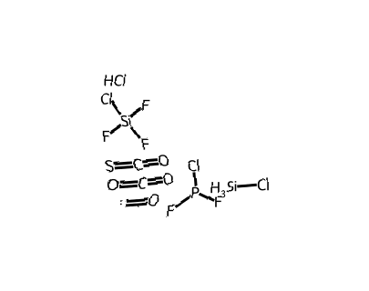 Cl.FP(F)Cl.F[Si](F)(F)Cl.O=C=O.O=C=S.[C]=O.[SiH3]Cl